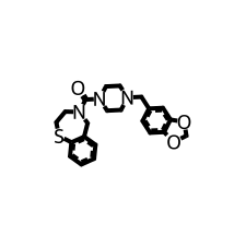 O=C(N1CCN(Cc2ccc3c(c2)OCO3)CC1)N1CCSc2ccccc2C1